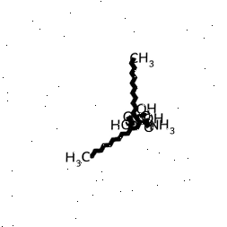 CCCCCCCCCCCCC(C(=O)O)C(CCCCCCCCCCCC)(C(=O)O)S(=O)(=O)O.N